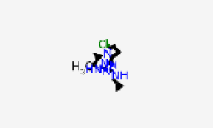 CC(Nc1nc(NCC2CC2)nc(-c2cccc(Cl)n2)n1)C1CC1